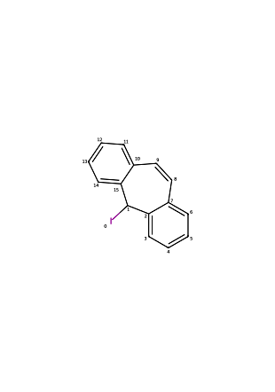 IC1c2ccccc2C=Cc2ccccc21